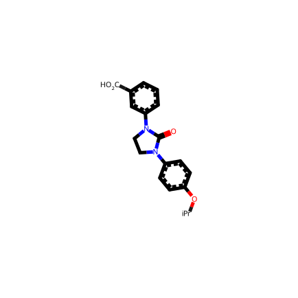 CC(C)Oc1ccc(N2CCN(c3cccc(C(=O)O)c3)C2=O)cc1